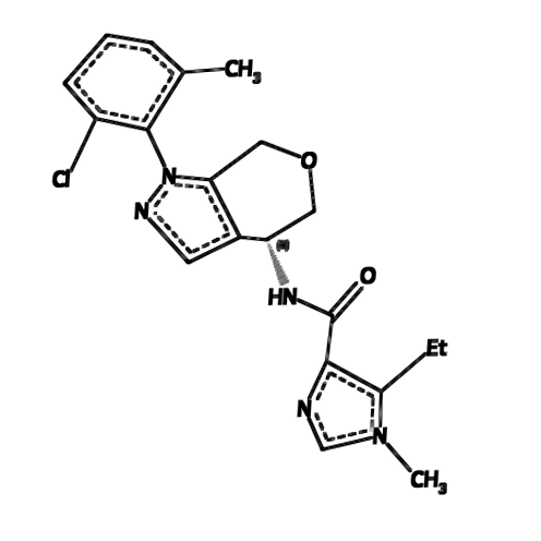 CCc1c(C(=O)N[C@H]2COCc3c2cnn3-c2c(C)cccc2Cl)ncn1C